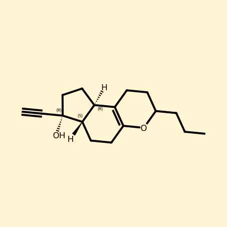 C#C[C@@]1(O)CC[C@H]2C3=C(CC[C@@H]21)OC(CCC)CC3